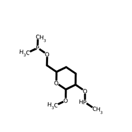 COC1OC(COP(C)C)CCC1OPC